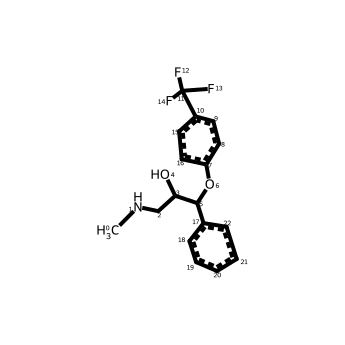 CNCC(O)C(Oc1ccc(C(F)(F)F)cc1)c1ccccc1